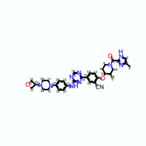 Cc1c[nH]c(C(=O)N2CCC(Oc3ccc(-c4ncnc(Nc5ccc(N6CCN(C7COC7)CC6)cc5)n4)cc3C#N)C(F)C2)n1